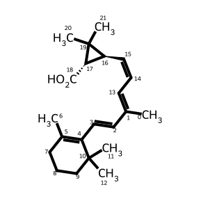 CC(C=CC1=C(C)CCCC1(C)C)=C/C=C\[C@H]1[C@H](C(=O)O)C1(C)C